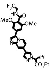 CCOC(=O)C(C(C)C)n1cc(-c2ccn3c(-c4cc(OC)c(C(=O)NCC(F)(F)F)c(OC)c4)cnc3c2)cn1